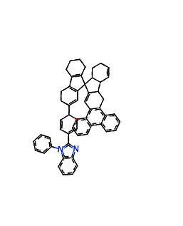 C1=CC2C3Cc4c(c5ccccc5c5ccccc45)C=C3C3(C4=C(CCC(C5C=CC(c6nc7ccccc7n6-c6ccccc6)=CC5)=C4)C4=C3CCCC4)C2CC1